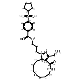 CCc1nn(CCCOC(=O)c2ccc(S(=O)(=O)C3CCCC3)cc2)c2c1C(=O)NCCCOCCC2